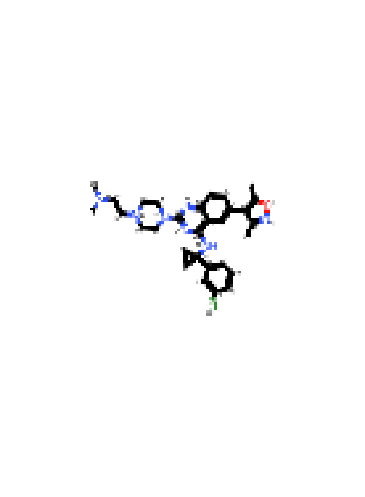 Cc1noc(C)c1-c1ccc2nc(N3CCN(CCN(C)C)CC3)nc(NC3(c4cccc(Cl)c4)CC3)c2c1